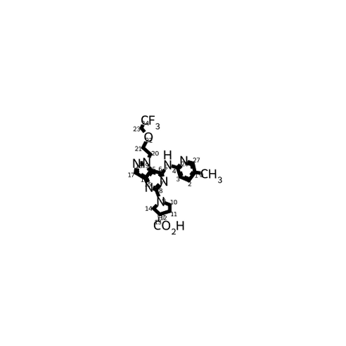 Cc1ccc(Nc2nc(N3CC[C@H](C(=O)O)C3)nc3cnn(CCOCC(F)(F)F)c23)nc1